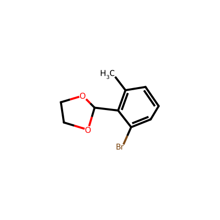 Cc1cccc(Br)c1C1OCCO1